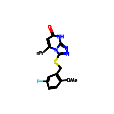 CCCc1cc(=O)[nH]c2nnc(SCc3cc(F)ccc3OC)n12